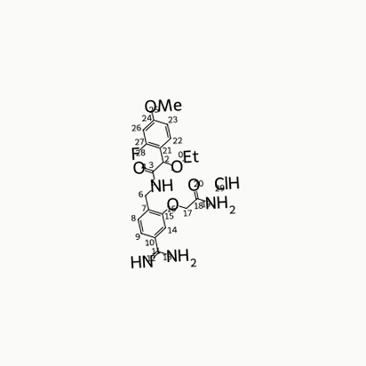 CCOC(C(=O)NCc1ccc(C(=N)N)cc1OCC(N)=O)c1ccc(OC)cc1F.Cl